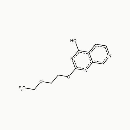 Oc1nc(OCCOCC(F)(F)F)nc2cnccc12